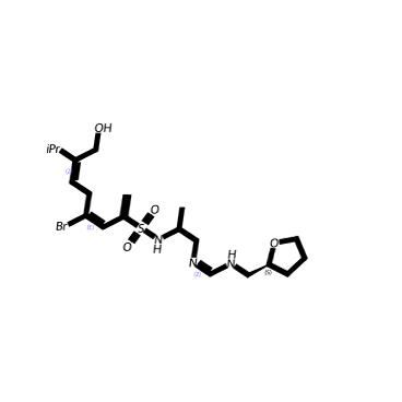 C=C(/C=C(/Br)C/C=C(\CO)C(C)C)S(=O)(=O)NC(C)C/N=C\NC[C@@H]1CCCO1